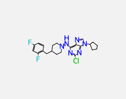 Fc1ccc(CC2CCN(Nc3nc(Cl)nc4c3ncn4C3CCCC3)CC2)c(F)c1